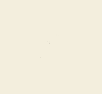 O=CN(O)c1ccccc1Br